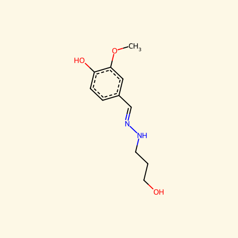 COc1cc(/C=N/NCCCO)ccc1O